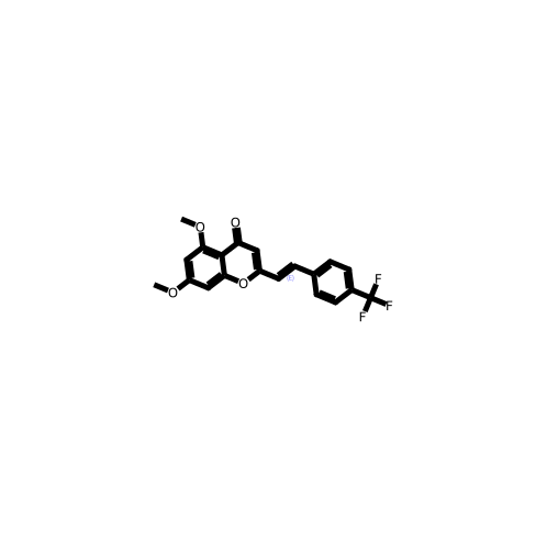 COc1cc(OC)c2c(=O)cc(/C=C/c3ccc(C(F)(F)F)cc3)oc2c1